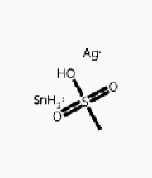 CS(=O)(=O)O.[Ag].[SnH2]